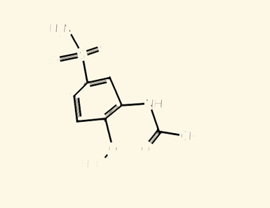 COc1ccc(S(N)(=O)=O)cc1NC(C)=O